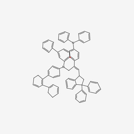 C1=CCCC(C2=C(c3ccc(N(C/C(=C\C4CC(c5ccccc5)(c5ccccc5)c5ccccc54)c4ccc(N(c5ccccc5)c5ccccc5)cc4)c4cccc(-c5ccccc5)c4)cc3)CCC=C2)=C1